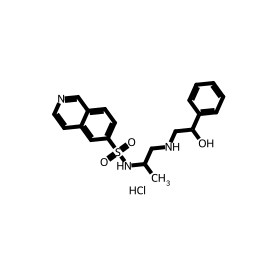 CC(CNCC(O)c1ccccc1)NS(=O)(=O)c1ccc2cnccc2c1.Cl